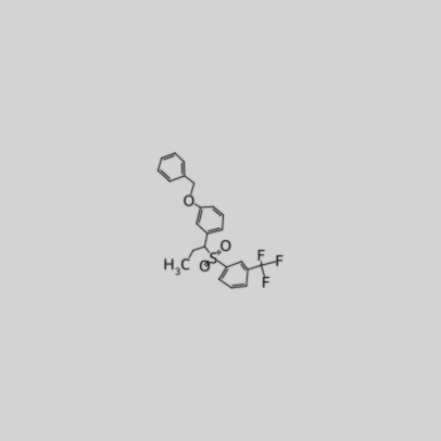 CCC(c1cccc(OCc2ccccc2)c1)S(=O)(=O)c1cccc(C(F)(F)F)c1